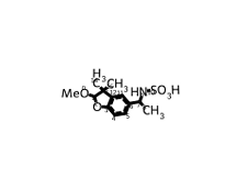 COC1Oc2ccc(C(C)NS(=O)(=O)O)cc2C1(C)C